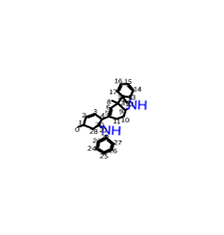 CC1C=CC(C2=CC3(C)C(CC2)NC2C=CC=CC23C)C(Nc2ccccc2)C1